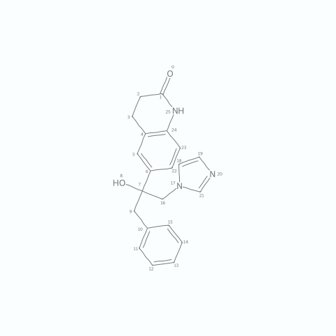 O=C1CCc2cc(C(O)(Cc3ccccc3)Cn3ccnc3)ccc2N1